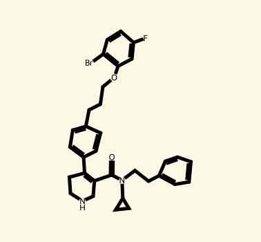 O=C(C1=C(c2ccc(CCCOc3cc(F)ccc3Br)cc2)CCNC1)N(CCc1ccccc1)C1CC1